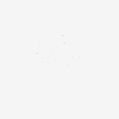 c1ccc2cc3c(cc2c1)c1ccccc1n3-c1cc(-c2nc(-c3cccc4ccccc34)nc(-c3cccc4oc5ccccc5c34)n2)cc2oc3ccccc3c12